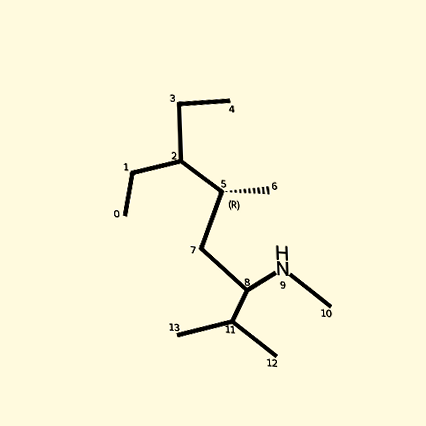 CCC(CC)[C@H](C)CC(NC)C(C)C